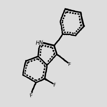 Fc1ccc2[nH]c(-c3ccccc3)c(F)c2c1F